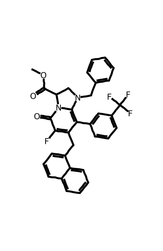 COC(=O)C1CN(Cc2ccccc2)c2c(-c3cccc(C(F)(F)F)c3)c(Cc3cccc4ccccc34)c(F)c(=O)n21